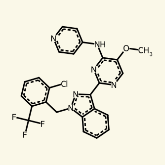 COc1cnc(-c2nn(Cc3c(Cl)cccc3C(F)(F)F)c3ccccc23)nc1Nc1ccncc1